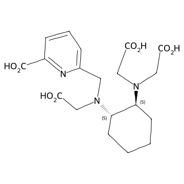 O=C(O)CN(CC(=O)O)[C@H]1CCCC[C@@H]1N(CC(=O)O)Cc1cccc(C(=O)O)n1